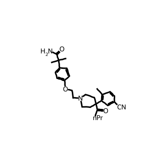 CCCC(=O)C1(c2cc(C#N)ccc2C)CCN(CCOc2ccc(C(C)(C)C(N)=O)cc2)CC1